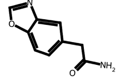 NC(=O)Cc1ccc2ocnc2c1